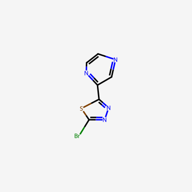 Brc1nnc(-c2cnccn2)s1